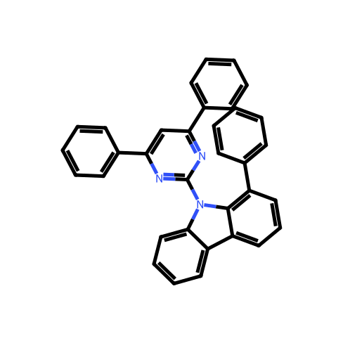 c1ccc(-c2cc(-c3ccccc3)nc(-n3c4ccccc4c4cccc(-c5ccccc5)c43)n2)cc1